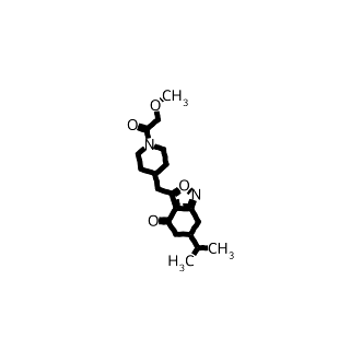 COCC(=O)N1CCC(Cc2onc3c2C(=O)CC(C(C)C)C3)CC1